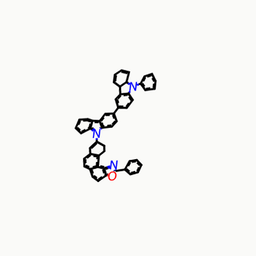 C1=CC2c3cc(-c4ccc5c(c4)c4ccccc4n5C4=Cc5ccc6ccc7oc(-c8ccccc8)nc7c6c5CC4)ccc3N(c3ccccc3)C2C=C1